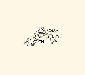 COc1cc(C(O)N(C)C)ccc1-c1cc2nccc(-c3ccc(OC4CCN(C)CC4(F)F)c(C#N)c3)c2o1